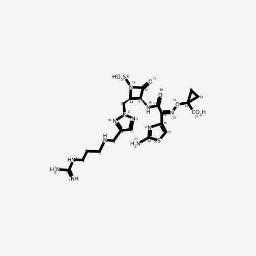 N=C(N)NCCCNCc1cnn(C[C@@H]2[C@H](NC(=O)/C(=N\OC3(C(=O)O)CC3)c3csc(N)n3)C(=O)N2S(=O)(=O)O)n1